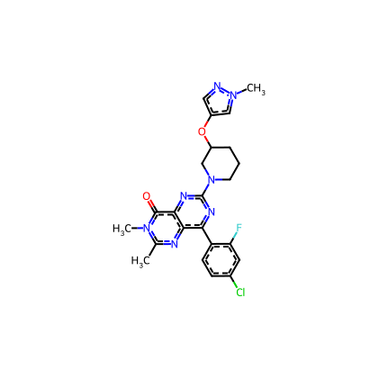 Cc1nc2c(-c3ccc(Cl)cc3F)nc(N3CCCC(Oc4cnn(C)c4)C3)nc2c(=O)n1C